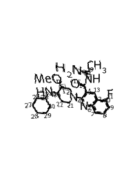 CO[C@H]1CN(c2nc3cccc(F)c3cc2C(=O)N[C@H](C)N)CC[C@H]1NC1CCCCC1